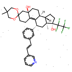 CC1(C)COC2(CCC3=C4[C@@H](CC[C@@]3(O)C2)[C@@H]2CC[C@@](O)(C(F)(F)C(F)(F)F)[C@@]2(C)C[C@@H]4c2cccc(C=Cc3cccnc3)c2)OC1